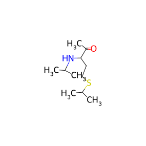 CC(=O)C(CCSC(C)C)NC(C)C